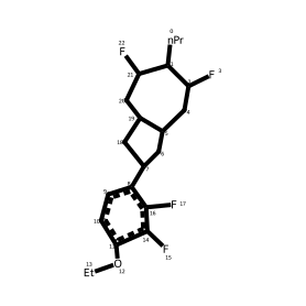 CCCC1C(F)CC2CC(c3ccc(OCC)c(F)c3F)CC2CC1F